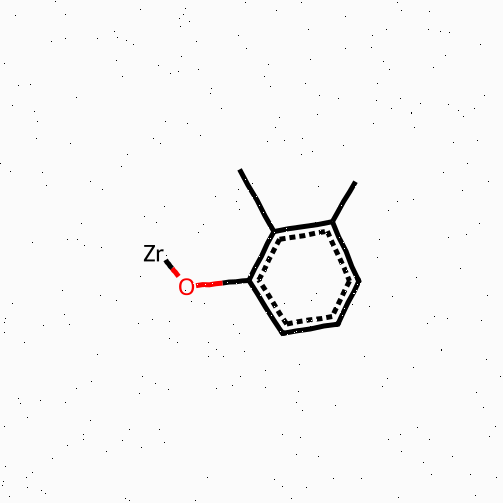 Cc1cccc([O][Zr])c1C